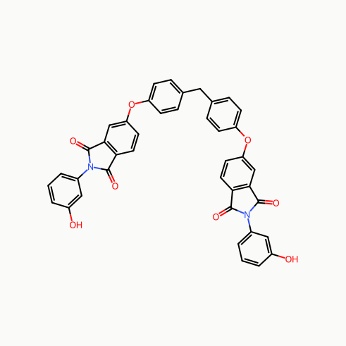 O=C1c2ccc(Oc3ccc(Cc4ccc(Oc5ccc6c(c5)C(=O)N(c5cccc(O)c5)C6=O)cc4)cc3)cc2C(=O)N1c1cccc(O)c1